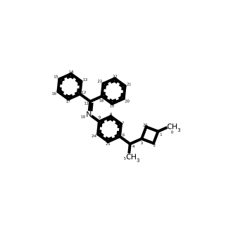 CC1CC(C(C)c2ccc(N=C(c3ccccc3)c3ccccc3)cc2)C1